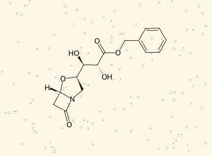 O=C(OCc1ccccc1)[C@H](O)[C@H](O)[C@H]1CN2C(=O)C[C@@H]2O1